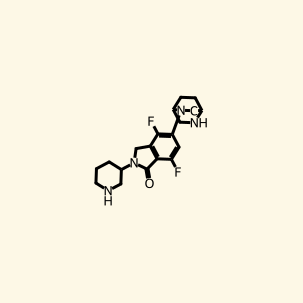 O=C1c2c(F)cc(N3CC4CCC3CN4)c(F)c2CN1C1CCCNC1